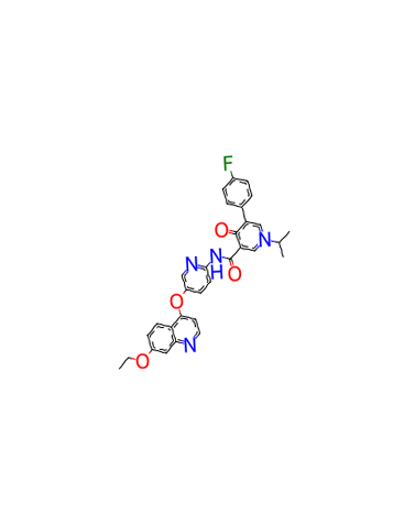 CCOc1ccc2c(Oc3ccc(NC(=O)c4cn(C(C)C)cc(-c5ccc(F)cc5)c4=O)nc3)ccnc2c1